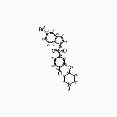 CN1CCC(Oc2cc(S(=O)(=O)n3ccc4cc(Br)ccc43)ccc2Cl)CC1